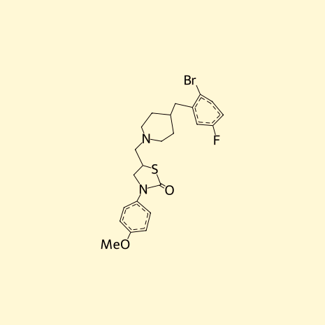 COc1ccc(N2CC(CN3CCC(Cc4cc(F)ccc4Br)CC3)SC2=O)cc1